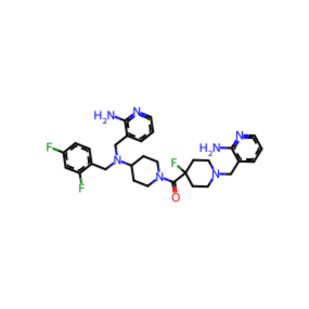 Nc1ncccc1CN1CCC(F)(C(=O)N2CCC(N(Cc3ccc(F)cc3F)Cc3cccnc3N)CC2)CC1